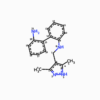 Cc1n[nH]c(C)c1CNc1ccccc1-c1ccccc1N